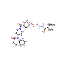 CCCC(NC(C)=O)C(=S)NCCCOc1ccc(C(=O)N2CCC(N3C(=O)CCc4ccccc43)CC2)cc1